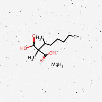 CCCCCC(C)C(C)(C(=O)O)C(=O)O.[MgH2]